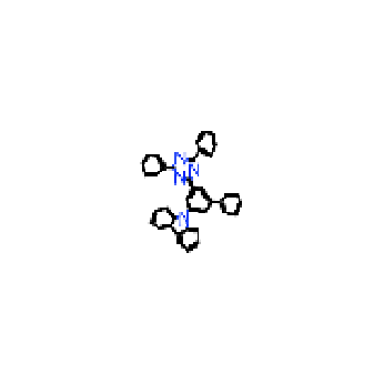 c1ccc(-c2cc(-c3nc(-c4ccccc4)nc(-c4ccccc4)n3)cc(-n3c4ccccc4c4ccccc43)c2)cc1